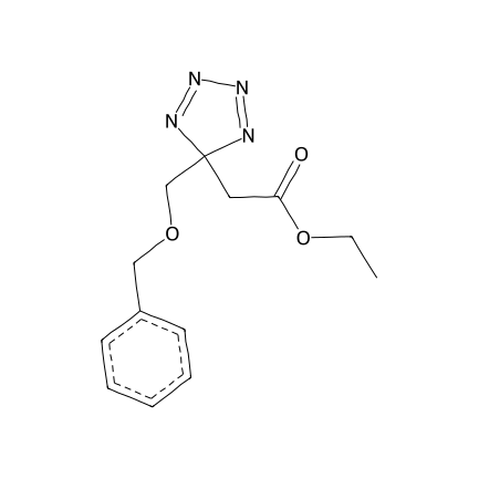 CCOC(=O)CC1(COCc2ccccc2)N=NN=N1